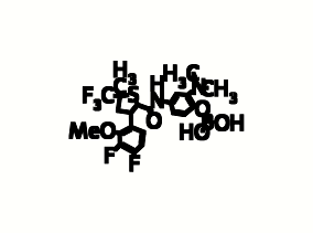 COc1c(C2CC(C)(C(F)(F)F)SC2C(=O)Nc2ccc(OB(O)O)c(N(C)C)c2)ccc(F)c1F